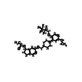 COc1cc(N2CCC(COc3cc4c(cn3)CCC4OC(C)=O)CC2)c(OCC(F)(F)C(F)(F)F)cn1